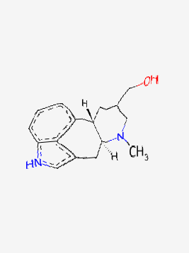 CN1CC(CO)C[C@H]2c3cccc4[nH]cc(c34)C[C@@H]21